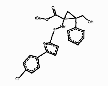 CC(C)(C)OC(=O)C1(NSc2ccc(-c3ccc(Cl)cc3)s2)CC1(CO)c1ccccc1